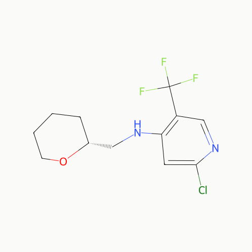 FC(F)(F)c1cnc(Cl)cc1NC[C@H]1CCCCO1